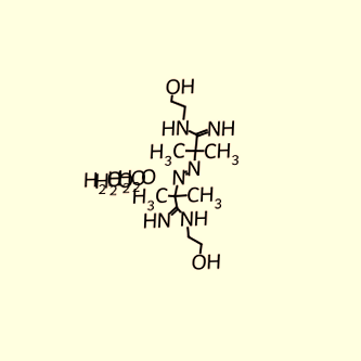 CC(C)(N=NC(C)(C)C(=N)NCCO)C(=N)NCCO.O.O.O.O